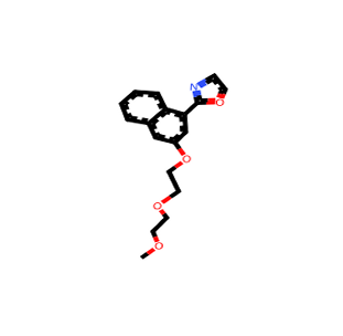 COCCOCCOc1cc(-c2ncco2)c2ccccc2c1